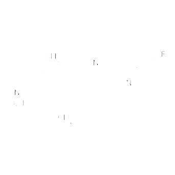 C=CCCc1cc(C(=C)CCCCN2CCC(C3=NCc4cc(F)ccc43)CC2)cc2c1N(C)CC2